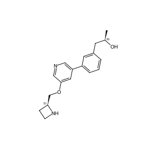 C[C@@H](O)Cc1cccc(-c2cncc(OC[C@@H]3CCN3)c2)c1